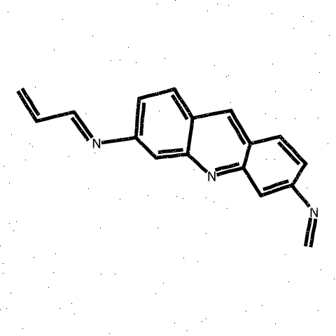 C=CC=Nc1ccc2cc3ccc(N=C)cc3nc2c1